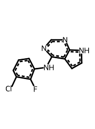 Fc1c(Cl)cccc1Nc1ncnc2[nH]ccc12